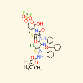 CC(C)(C)OC(=O)Nc1nc(C(=NOC(c2ccccc2)(c2ccccc2)c2ccccc2)C(=O)N[C@@H]2C(=O)N3C(C(=O)O)=C(C=COS(=O)(=O)C(F)(F)F)CS[C@H]23)c(Cl)s1